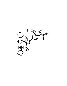 Cc1c(C(=O)NC2CCOCC2)cc(-c2ccc([S+]([O-])NC(C)(C)C)c(OC(F)(F)F)c2)n1CC1CCCCC1